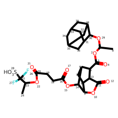 CC(OC(=O)C1C2CC3C(OC(=O)C31)C2OC(=O)CCC(=O)OC(C)C(F)(F)S(=O)(=O)O)OC1C2CC3CC(C2)CC1C3